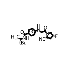 C[C@H](NC(=O)C12CCC(NCC(=O)N3C[C@@H](F)C[C@H]3C#N)(CC1)CC2)C(C)(C)C